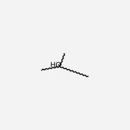 CCCCCCCCCCCCCCCCCCC(O)(CCCCCCCC)CCCCCCCCCCC